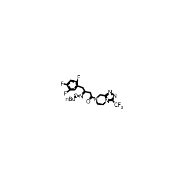 CCCCON=C(CC(=O)N1CCn2c(nnc2C(F)(F)F)C1)Cc1cc(F)c(F)cc1F